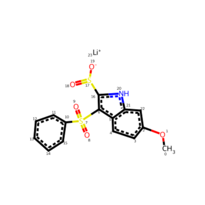 COc1ccc2c(S(=O)(=O)c3ccccc3)c(S(=O)[O-])[nH]c2c1.[Li+]